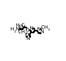 Cc1nccc(-c2cnc(OC[C@@H](C)CC(C)(C)N)c(-c3cnco3)c2)n1